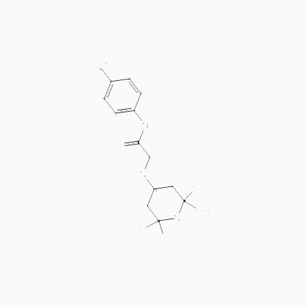 CC1(C)CC(NCC(=O)Nc2ccc(Cl)cc2)CC(C)(C)N1